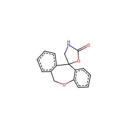 O=C1NCC2(O1)c1ccccc1COc1ccccc12